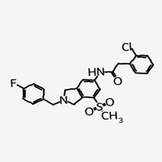 CS(=O)(=O)c1cc(NC(=O)Cc2ccccc2Cl)cc2c1CN(Cc1ccc(F)cc1)C2